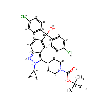 CC(C)(C)OC(=O)N1CCC(c2c3cc(C(O)(c4ccc(Cl)cc4)c4ccc(Cl)cc4)ccc3nn2C2CC2)CC1